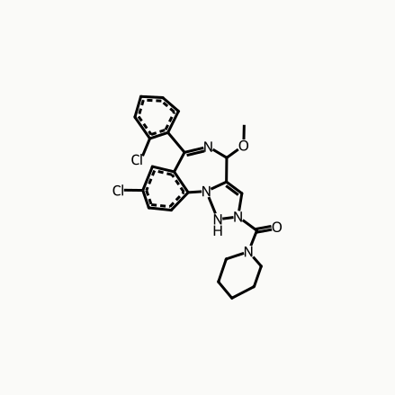 COC1N=C(c2ccccc2Cl)c2cc(Cl)ccc2N2NN(C(=O)N3CCCCC3)C=C12